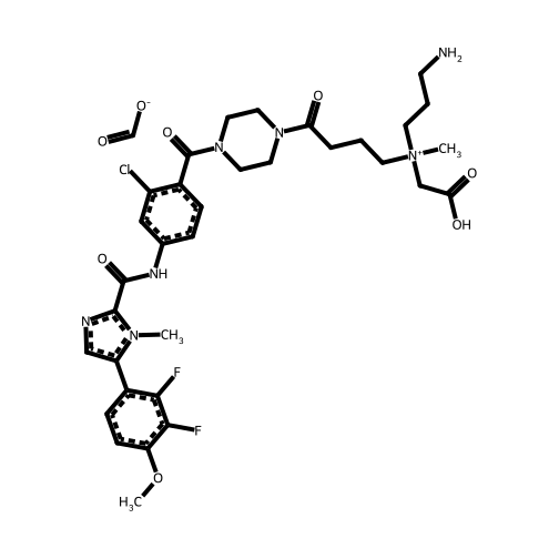 COc1ccc(-c2cnc(C(=O)Nc3ccc(C(=O)N4CCN(C(=O)CCC[N+](C)(CCCN)CC(=O)O)CC4)c(Cl)c3)n2C)c(F)c1F.O=C[O-]